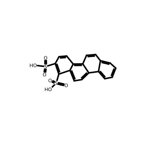 O=S(=O)(O)c1ccc2c(ccc3c4ccccc4ccc23)c1S(=O)(=O)O